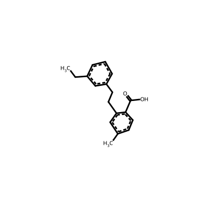 CCc1cccc(CCc2cc(C)ccc2C(=O)O)c1